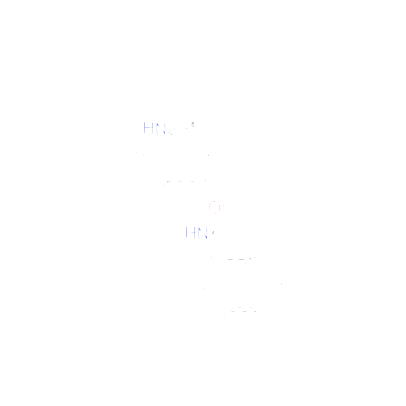 c1ccc(NOC2CCNCC2)cc1